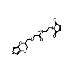 O=C(COCC1COc2cscc2O1)NCCN1C(=O)C=CC1=O